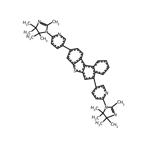 CC1=NC(C)(C)C(C)(C)N1c1ccc(-c2ccc3c(c2)sc2cc(-c4ccc(N5C(C)=NC(C)(C)C5(C)C)nc4)c4ccccc4c23)cn1